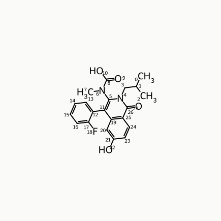 CC(C)Cn1c(N(C)C(=O)O)c(-c2ccccc2F)c2cc(O)ccc2c1=O